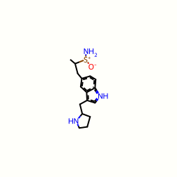 CC(Cc1ccc2[nH]cc(CC3CCCN3)c2c1)[S+](N)[O-]